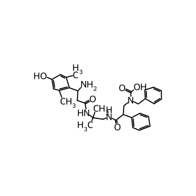 Cc1cc(O)cc(C)c1C(N)CC(=O)NC(C)(C)CNC(=O)C(CN(Cc1ccccc1)C(=O)O)c1ccccc1